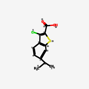 CC(C)c1ccc2c(Cl)c(C(=O)O)sc2c1